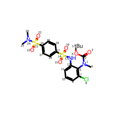 CN(C(=O)OC(C)(C)C)c1c(Cl)cccc1NS(=O)(=O)c1ccc(S(=O)(=O)N(C)C)cc1